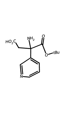 CC(C)(C)OC(=O)C(N)(CC(=O)O)c1cccnc1